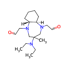 CCN(CC)C1(C)CN(CC=O)[C@@H]2CCCC[C@H]2N(CC=O)C1